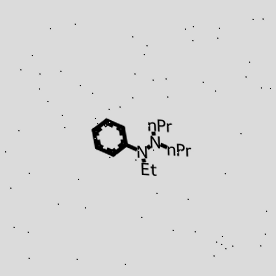 [CH2]CCN(CCC)N(CC)c1ccccc1